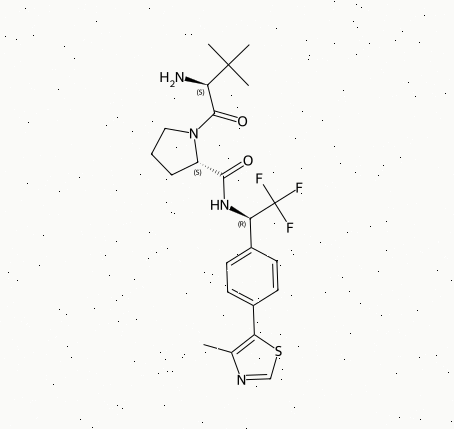 Cc1ncsc1-c1ccc([C@@H](NC(=O)[C@@H]2CCCN2C(=O)[C@@H](N)C(C)(C)C)C(F)(F)F)cc1